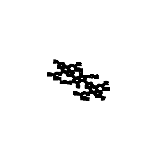 CCCCCCCCN1C(=O)C2=C(c3cc4c(CC(CC)CCCC)c5sc(Br)cc5c(OCC(CC)CCCC)c4s3)N(CCCCCCCC)C(=O)C2=C1c1cc2c(OCC(CC)CCCC)c3sc(Br)cc3c(CC(CC)CCCC)c2s1